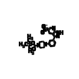 CC(C)(C)OC(=O)N1CCN(c2cccc(-c3n[nH]c4ncc([N+](=O)[O-])cc34)c2)CC1